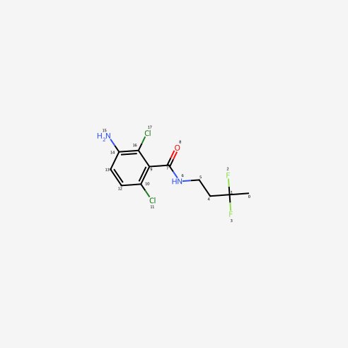 CC(F)(F)CCNC(=O)c1c(Cl)ccc(N)c1Cl